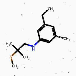 CCc1cc(C)cc(NCC(C)(C)SC)c1